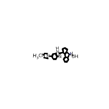 CN1CCN(c2ccc3nc(-c4cccc5c4-c4ccccc4/C5=N\O)[nH]c3c2)CC1